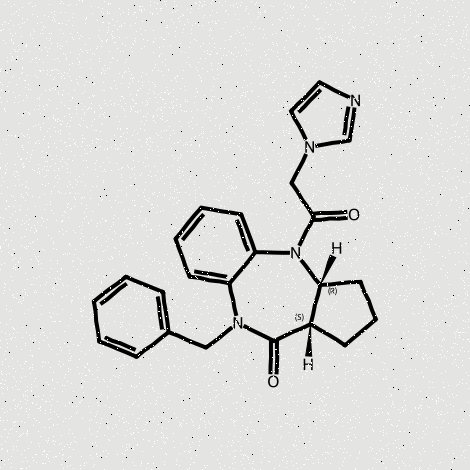 O=C1[C@H]2CCC[C@H]2N(C(=O)Cn2ccnc2)c2ccccc2N1Cc1ccccc1